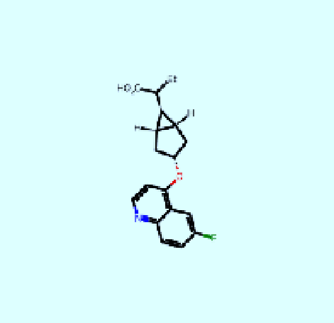 CCC(C(=O)O)[C@H]1[C@@H]2C[C@H](Oc3ccnc4ccc(F)cc34)C[C@@H]21